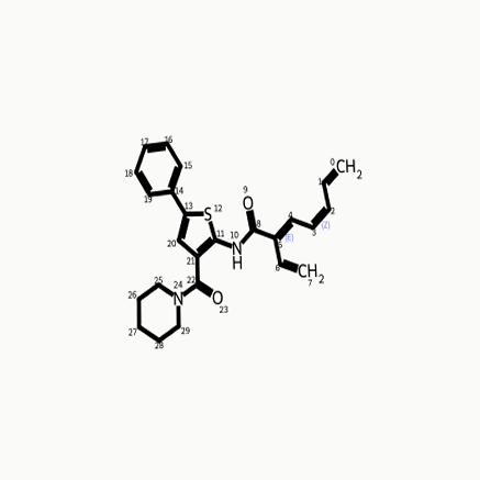 C=C/C=C\C=C(/C=C)C(=O)Nc1sc(-c2ccccc2)cc1C(=O)N1CCCCC1